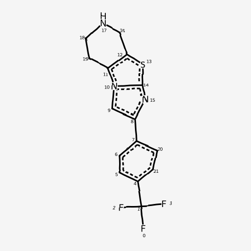 FC(F)(F)c1ccc(-c2cn3c4c(sc3n2)CNCC4)cc1